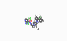 CC(CCNC(=O)c1c(Cl)cncc1Cl)N1CCC(N(Cc2cccc(Cl)c2)c2ccc([N+](=O)[O-])cc2)CC1